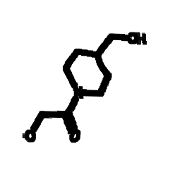 [O]CC(=O)N1CCC(CO)CC1